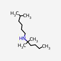 CCCCC(C)(C)NCCCCC(C)C